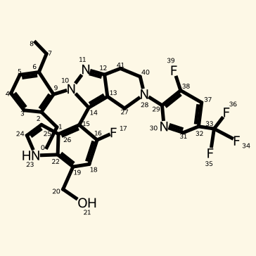 CCc1cccc(CC)c1-n1nc2c(c1-c1c(F)cc(CO)c3[nH]ccc13)CN(c1ncc(C(F)(F)F)cc1F)CC2